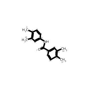 Cc1ccc(NC(=O)c2ccc(C)c(C)c2)cc1C